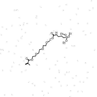 C=C(C)C(=O)OCCOCCOCCOCCOC(=O)NCCC[Si](OCC)(OCC)OCC